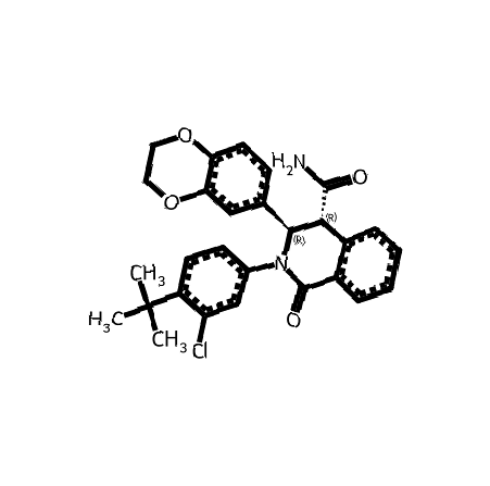 CC(C)(C)c1ccc(N2C(=O)c3ccccc3[C@@H](C(N)=O)[C@@H]2c2ccc3c(c2)OCCO3)cc1Cl